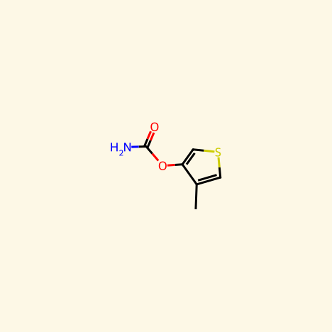 Cc1cscc1OC(N)=O